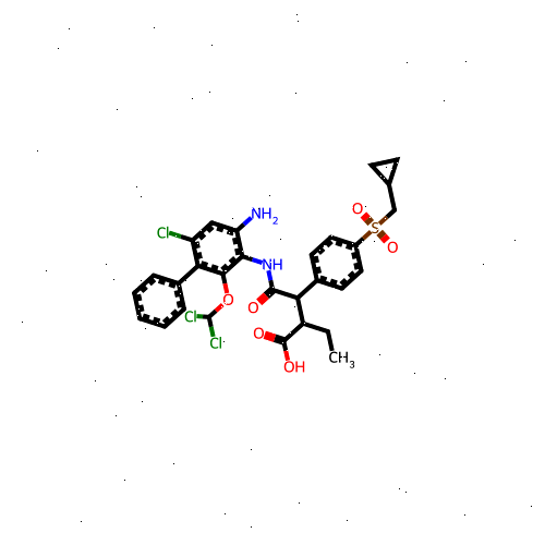 CCC(C(=O)O)C(C(=O)Nc1c(N)cc(Cl)c(-c2ccccc2)c1OC(Cl)Cl)c1ccc(S(=O)(=O)CC2CC2)cc1